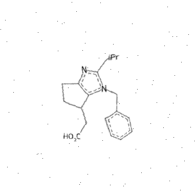 CC(C)c1nc2c(n1Cc1ccccc1)C(CC(=O)O)CC2